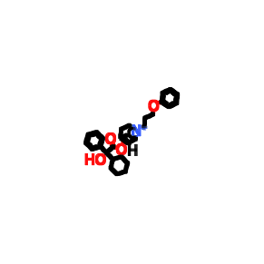 O=C(O[C@H]1C[N+]2(CCCOc3ccccc3)CCC1CC2)[C@](O)(c1ccccc1)C1CCCCC1